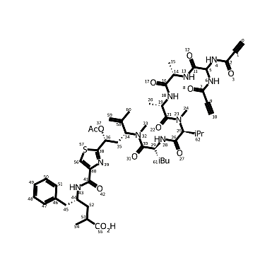 C#CC(=O)NC(NC(=O)C#C)C(=O)N[C@@H](C)C(=O)N[C@@H](C)C(=O)N(C)[C@H](C(=O)N[C@H](C(=O)N(C)[C@H](C[C@@H](OC(C)=O)c1nc(C(=O)N[C@@H](Cc2ccccc2)CC(C)C(=O)O)cs1)C(=C)C)[C@@H](C)CC)C(C)C